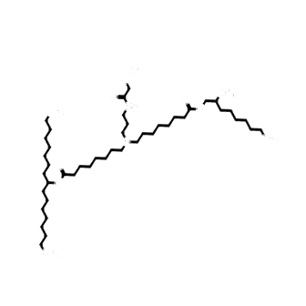 CCCCCCCCC(CCCCCCCC)OC(=O)CCCCCCCN(CCCCCCCC(=O)OCC(C)CCCCCCC)CCCNC(=O)COC